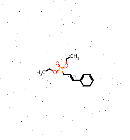 CCOP(=O)(C/C=C/C1=CC=CCC1)OCC